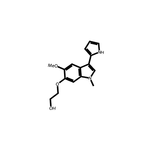 COc1cc2c(-c3ccc[nH]3)cn(C)c2cc1OCCO